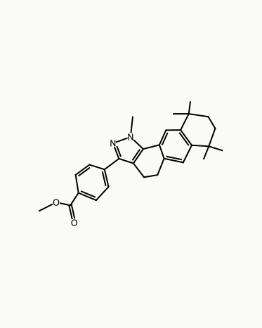 COC(=O)c1ccc(-c2nn(C)c3c2CCc2cc4c(cc2-3)C(C)(C)CCC4(C)C)cc1